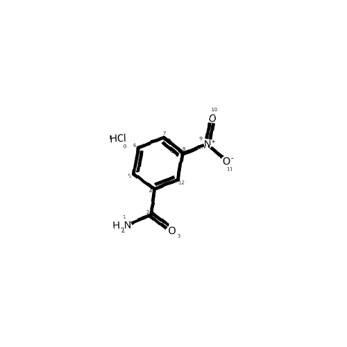 Cl.NC(=O)c1cccc([N+](=O)[O-])c1